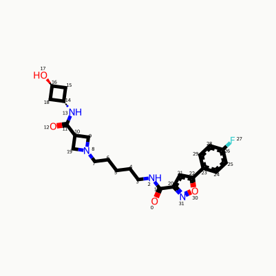 O=C(NCCCCCN1CC(C(=O)N[C@H]2C[C@H](O)C2)C1)c1cc(-c2ccc(F)cc2)on1